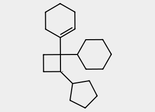 C1=C(C2(C3CCCCC3)CC[C]2C2CCCC2)CCCC1